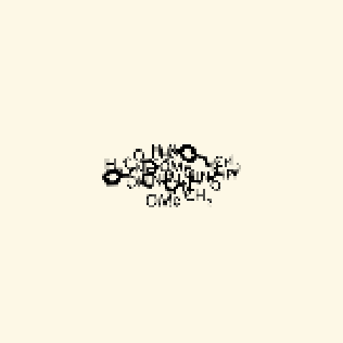 CCC(C)C(C(CC(=O)N1CCCC1C(OC)C(C)C(=O)NC(C)C(O)c1ccccc1)OC)N(C)C(=O)CNC(=O)C(C(C)C)N(C)CCc1ccc(N)cc1